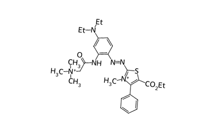 CCOC(=O)c1sc(/N=N/c2ccc(N(CC)CC)cc2NC(=O)C[N+](C)(C)C)[n+](C)c1-c1ccccc1